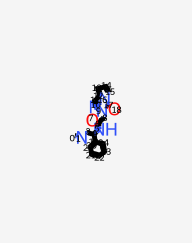 CN(C)CC(NC(=O)Cn1ncc2cccn2c1=O)c1ccccc1